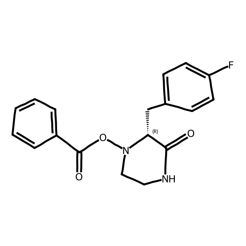 O=C(ON1CCNC(=O)[C@H]1Cc1ccc(F)cc1)c1ccccc1